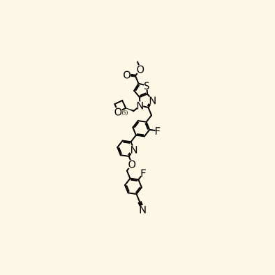 COC(=O)c1cc2c(nc(Cc3ccc(-c4cccc(OCc5ccc(C#N)cc5F)n4)cc3F)n2C[C@@H]2CCO2)s1